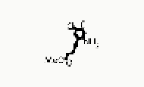 COC(=O)CCC#Cc1cc(Cl)c(Cl)cc1N